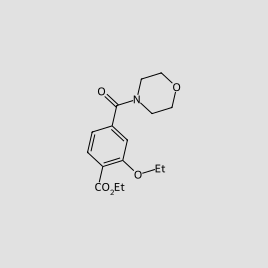 CCOC(=O)c1ccc(C(=O)N2CCOCC2)cc1OCC